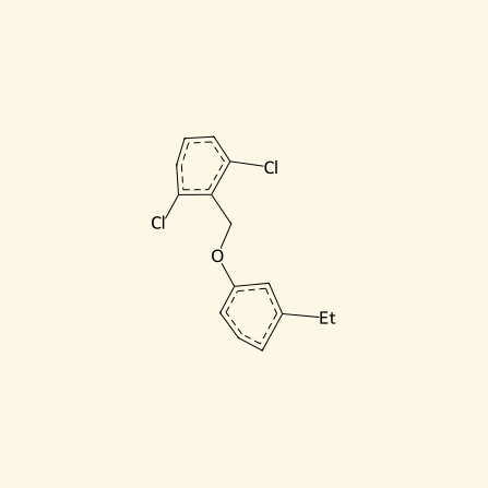 CCc1cccc(OCc2c(Cl)cccc2Cl)c1